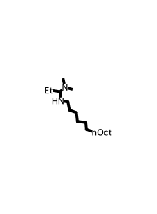 CCCCCCCCCCCCCCNC(CC)N(C)C